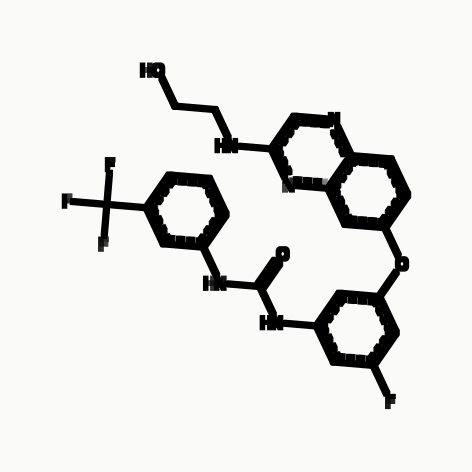 O=C(Nc1cc(F)cc(Oc2ccc3ncc(NCCO)nc3c2)c1)Nc1cccc(C(F)(F)F)c1